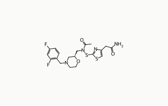 CC(=O)N(C[C@@H]1CN(Cc2ccc(F)cc2F)CCO1)Sc1nc(CC(N)=O)cs1